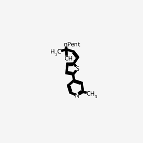 CCCCCC(C)(C)/C=C\c1ccc(-c2ccnc(C)c2)s1